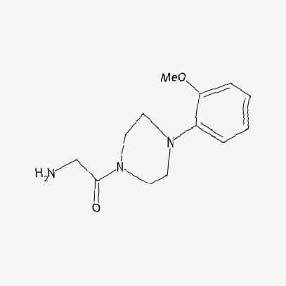 COc1ccccc1N1CCN(C(=O)CN)CC1